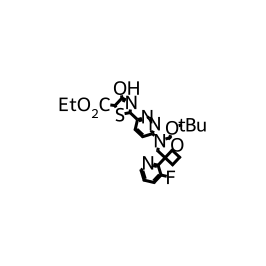 CCOC(=O)C1SC(c2ccc(N(CC3(c4ncccc4F)CCC3)C(=O)OC(C)(C)C)nn2)N=C1O